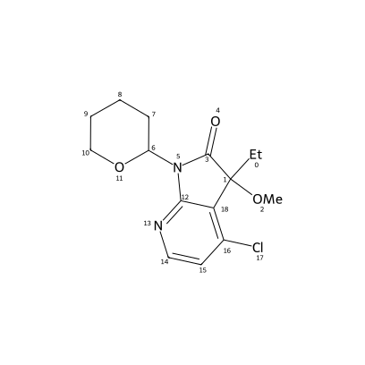 CCC1(OC)C(=O)N(C2CCCCO2)c2nccc(Cl)c21